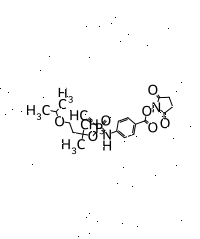 C#CP(=O)(Nc1ccc(C(=O)ON2C(=O)CCC2=O)cc1)OC(C)(C)CCOC(C)C